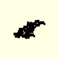 CC(=O)Nc1cc(Oc2ccc(C)c(C(=O)Nc3ccc(CN4CCN(C)CC4)c(C(F)(F)F)c3)c2)c2cc[nH]c2n1